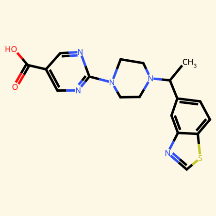 CC(c1ccc2scnc2c1)N1CCN(c2ncc(C(=O)O)cn2)CC1